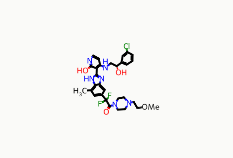 COCCN1CCN(C(=O)C(F)(F)c2cc(C)c3[nH]c(-c4c(NC[C@H](O)c5cccc(Cl)c5)ccnc4O)nc3c2)CC1